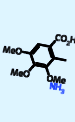 COc1cc(C(=O)O)c(C)c(OC)c1OC.N